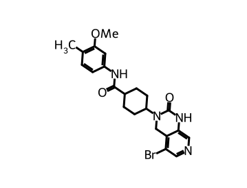 COc1cc(NC(=O)C2CCC(N3Cc4c(Br)cncc4NC3=O)CC2)ccc1C